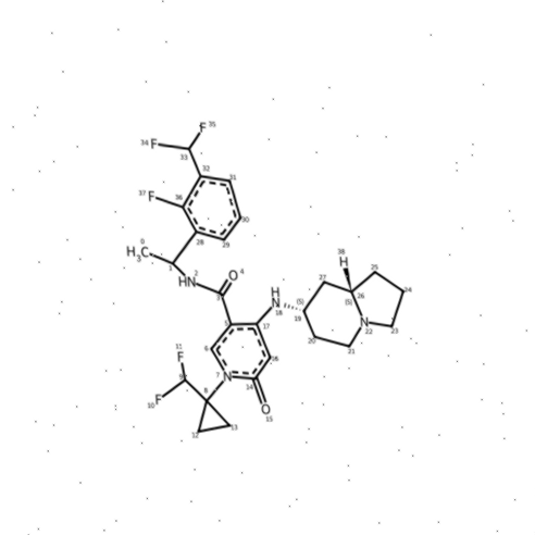 CC(NC(=O)c1cn(C2(C(F)F)CC2)c(=O)cc1N[C@H]1CCN2CCC[C@H]2C1)c1cccc(C(F)F)c1F